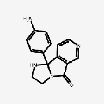 Bc1ccc(C23NCCN2C(=O)c2cnccc23)cc1